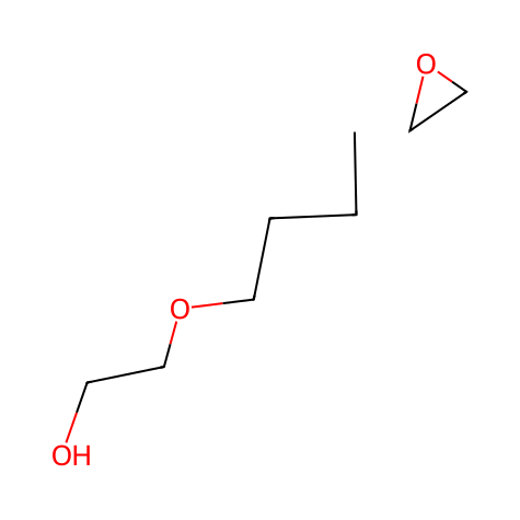 C1CO1.CCCCOCCO